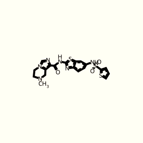 CN1CCn2cnc(C(=O)Nc3nc4ccc(NS(=O)(=O)c5cccs5)cc4s3)c2C1